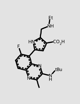 CCNCc1[nH]c(-c2c(F)ccc3nc(C)c(NC(C)(C)C)nc23)cc1C(=O)O